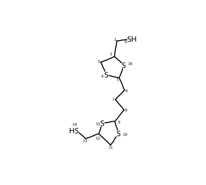 SCC1CSC(CCCC2SCC(CS)S2)S1